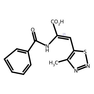 Cc1nnsc1/C=C(\NC(=O)c1ccccc1)C(=O)O